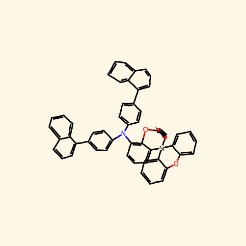 c1ccc2c(c1)Oc1ccccc1[Si]21c2ccccc2Oc2c(N(c3ccc(-c4cccc5ccccc45)cc3)c3ccc(-c4cccc5ccccc45)cc3)cccc21